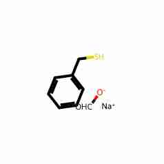 O=C[O-].SCc1ccccc1.[Na+]